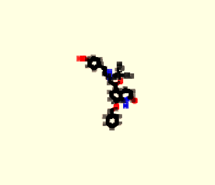 CC(C)(C)[Si](C)(C)OC(CNCCc1ccc(O)cc1)c1ccc(OCc2ccccc2)c2[nH]c(=O)ccc12